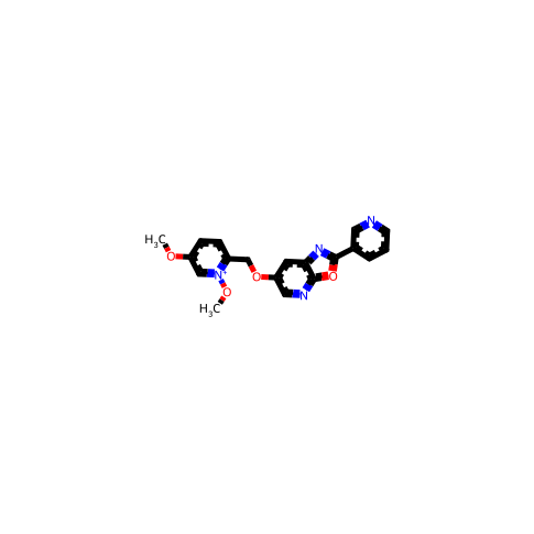 COc1ccc(COc2cnc3oc(-c4cccnc4)nc3c2)[n+](OC)c1